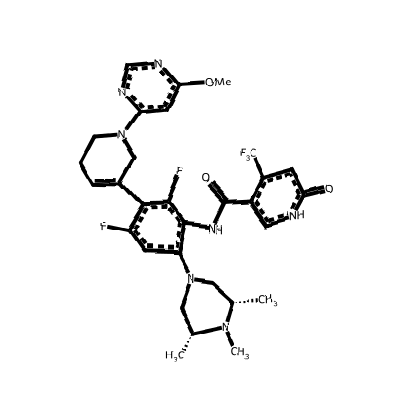 COc1cc(N2CCC=C(c3c(F)cc(N4C[C@@H](C)N(C)[C@@H](C)C4)c(NC(=O)c4c[nH]c(=O)cc4C(F)(F)F)c3F)C2)ncn1